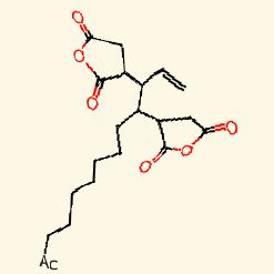 C=CC(C1CC(=O)OC1=O)C(CCCCCCCC(C)=O)C1CC(=O)OC1=O